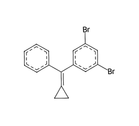 Brc1cc(Br)cc(C(=C2CC2)c2ccccc2)c1